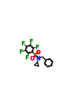 O=S(=O)(c1c(F)c(F)c(F)c(F)c1F)N(Cc1ccccc1)C1CC1